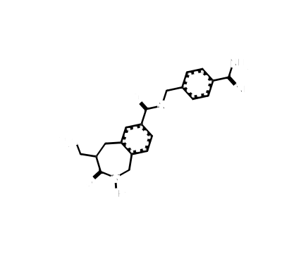 CC(C)N1Cc2ccc(C(=O)NCc3ccc(C(=N)N)cc3)cc2CC(CC(=O)O)C1=O